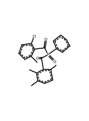 Cc1ccc(C)c(C(=O)P(=O)(C(=O)c2c(C)cccc2Cl)c2ccccc2)c1C